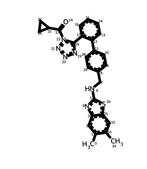 Cc1cc2nc(NCc3ccc(-c4ccccc4-c4nnnn4C(=O)C4CC4)cc3)sc2cc1C